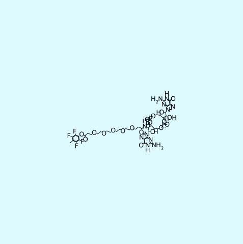 Cc1c(F)c(F)c(OC(=O)CCOCCOCCOCCOCCOCCC(=O)NC2[C@H]3OP(C)(=O)OC[C@H]4O[C@@H](n5cnc6c(=O)[nH]c(N)nc65)C(O)[C@H]4OP(C)(=O)OC[C@H]3O[C@H]2n2cnc3c(=O)[nH]c(N)nc32)c(F)c1F